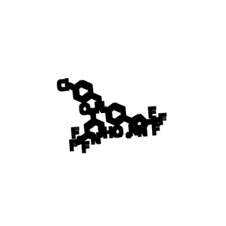 Cn1nc(C(F)(F)F)cc1-c1ccc(N(Cc2ccc(Cl)cc2)C(=O)c2ccnc(C(F)(F)F)c2)cc1O